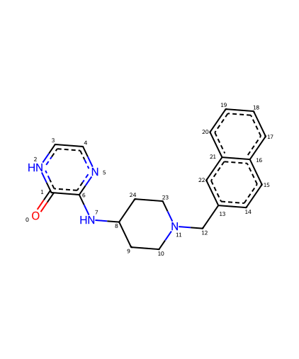 O=c1[nH]ccnc1NC1CCN(Cc2ccc3ccccc3c2)CC1